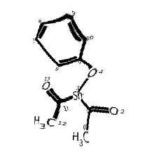 C[C](=O)[Sn]([O]c1ccccc1)[C](C)=O